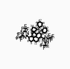 FC(F)(F)c1nc(-c2ccc3ccc4c(-c5nc(C(F)(F)F)nc(C(F)(F)F)n5)cc([Si](c5ccccc5)(c5ccccc5)c5ccccc5)c5ccc2c3c45)nc(C(F)(F)F)n1